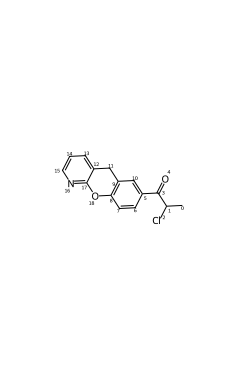 CC(Cl)C(=O)c1ccc2c(c1)Cc1cccnc1O2